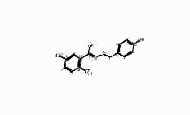 CCC/C(=N\OCc1ccc(Br)cc1)c1cc(Cl)ccc1C(F)(F)F